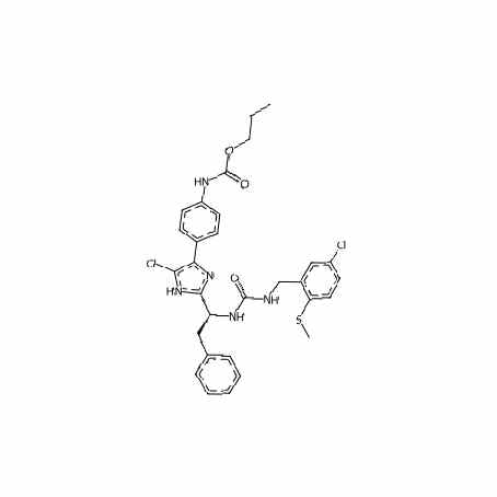 CCCOC(=O)Nc1ccc(-c2nc([C@H](Cc3ccccc3)NC(=O)NCc3cc(Cl)ccc3SC)[nH]c2Cl)cc1